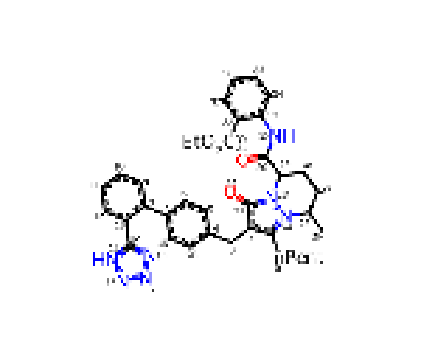 CCCCCc1c(Cc2ccc(-c3ccccc3-c3nnn[nH]3)cc2)c(=O)n2n1C(C)CCC2C(=O)Nc1ccccc1C(=O)OCC